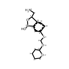 NCC1OB(O)c2cc(SCOC3CCCCO3)ccc21